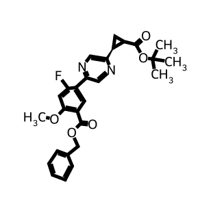 COc1cc(F)c(-c2cnc([C@H]3CC3C(=O)OC(C)(C)C)cn2)cc1C(=O)OCc1ccccc1